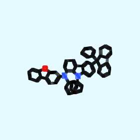 c1ccc(N(c2ccc3c(c2)oc2ccccc23)c2cccc3c4cc(C5(c6ccccc6)c6ccccc6-c6ccccc65)ccc4n(-c4ccccc4)c23)cc1